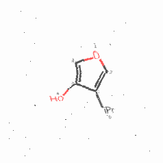 CC(C)c1cocc1O